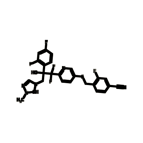 CN1N=CN(CC(O)(c2ccc(F)cc2F)C(F)(F)c2ccc(SCc3ccc(C#N)cc3F)cn2)N1